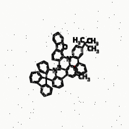 Cc1cc2c3c(c1)N(c1ccc(C(C)(C)C)cc1-c1ccccc1)c1c(ccc4c1oc1ccccc14)B3N1c3ccccc3C3(c4ccccc4-c4ccccc43)c3cccc-2c31